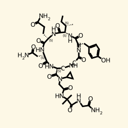 CC[C@H](C)[C@@H]1NC(=O)[C@H](Cc2ccc(O)cc2)NC(=O)CNC[C@@H](C(=O)N(CC(=O)NC(C)(C)C(=O)NCC(N)=O)C2CC2)NC(=O)[C@H](CC(N)=O)NC(=O)[C@H](CCC(N)=O)NC1=O